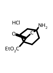 CCOC(=O)C12CCC(N)(CC1)CC2=O.Cl